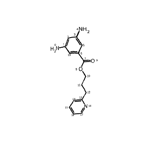 Nc1cc(N)cc(C(=O)OCCCc2ccccn2)c1